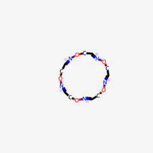 C1=N\OC/C=N\OC/C=N/OC/C=N/OC/C=N/OC/1